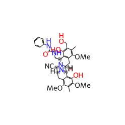 COc1c(C)c(OC)c2c(c1O)[C@@H]1[C@@H]3Cc4c(OC)c(C)c(CO)c(O)c4[C@H](CNC(=O)Nc4ccccc4)N3[C@@H](C#N)[C@H](C2)N1C